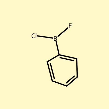 FB(Cl)c1ccccc1